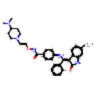 CN(C)C1CCN(CCONC(=O)c2ccc(NC(=C3C(=O)Nc4cc(C(=O)O)ccc43)c3ccccc3)cc2)CC1